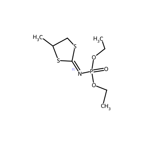 CCOP(=O)(/N=C1\SCC(C)S1)OCC